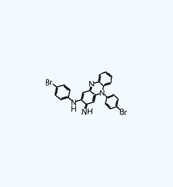 N=c1cc2n(-c3ccc(Br)cc3)c3ccccc3nc-2cc1Nc1ccc(Br)cc1